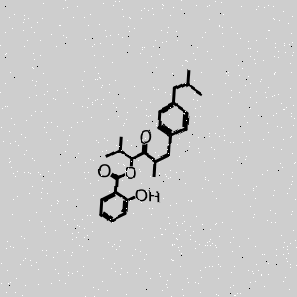 CC(C)Cc1ccc(CC(C)C(=O)C(OC(=O)c2ccccc2O)C(C)C)cc1